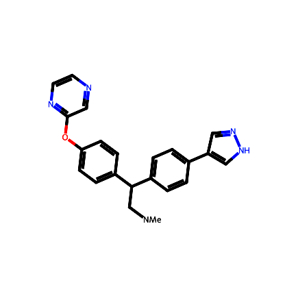 CNCC(c1ccc(Oc2cnccn2)cc1)c1ccc(-c2cn[nH]c2)cc1